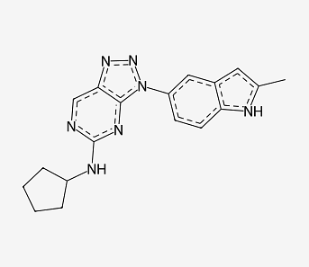 Cc1cc2cc(-n3nnc4cnc(NC5CCCC5)nc43)ccc2[nH]1